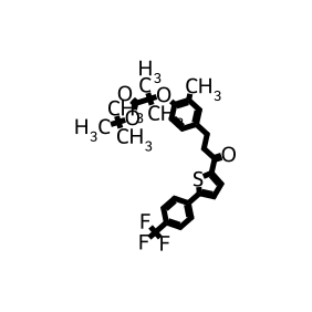 Cc1cc(CCC(=O)c2ccc(-c3ccc(C(F)(F)F)cc3)s2)ccc1OC(C)(C)C(=O)OC(C)(C)C